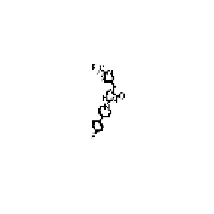 O=c1nc(N2CC=C(c3ccc(F)cc3)CC2)ncn1Cc1cnc(C(F)(F)F)nc1